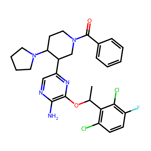 CC(Oc1nc(C2CN(C(=O)c3ccccc3)CCC2N2CCCC2)cnc1N)c1c(Cl)ccc(F)c1Cl